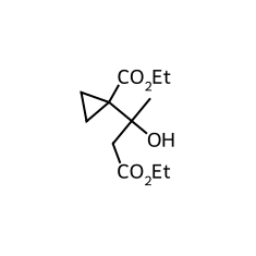 CCOC(=O)CC(C)(O)C1(C(=O)OCC)CC1